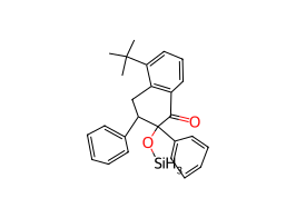 CC(C)(C)c1cccc2c1CC(c1ccccc1)C(O[SiH3])(c1ccccc1)C2=O